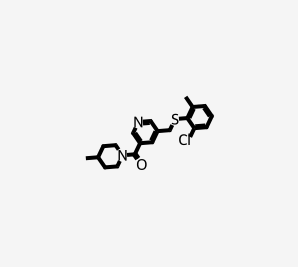 Cc1cccc(Cl)c1SCc1cncc(C(=O)N2CCC(C)CC2)c1